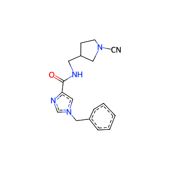 N#CN1CCC(CNC(=O)c2cn(Cc3ccccc3)cn2)C1